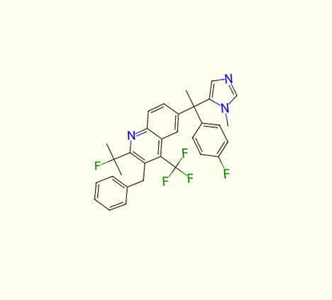 Cn1cncc1C(C)(c1ccc(F)cc1)c1ccc2nc(C(C)(C)F)c(Cc3ccccc3)c(C(F)(F)F)c2c1